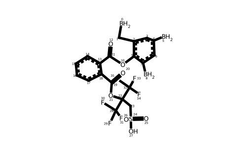 BCc1cc(B)cc(B)c1OC(=O)c1ccccc1C(=O)OC(CS(=O)(=O)O)(C(F)(F)F)C(F)(F)F